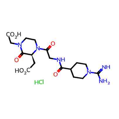 Cl.N=C(N)N1CCC(C(=O)NCC(=O)N2CCN(CC(=O)O)C(=O)[C@@H]2CC(=O)O)CC1